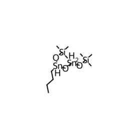 CCC[CH2][SnH]([O][SnH2][O][Si](C)(C)C)[O][Si](C)(C)C